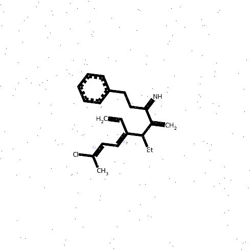 C=C/C(=C\C=C(/C)Cl)C(CC)C(=C)C(=N)CCc1ccccc1